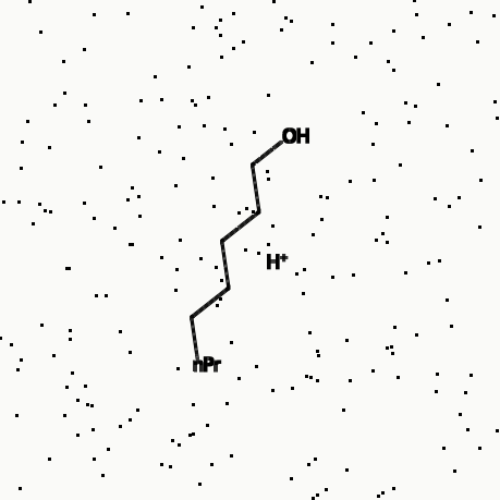 CCCCCCCCO.[H+]